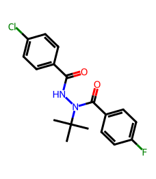 CC(C)(C)N(NC(=O)c1ccc(Cl)cc1)C(=O)c1ccc(F)cc1